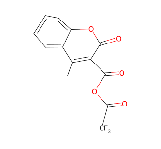 Cc1c(C(=O)OC(=O)C(F)(F)F)c(=O)oc2ccccc12